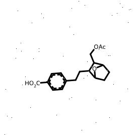 CC(=O)OCC1C2CCC(O2)C1CCc1ccc(C(=O)O)cc1